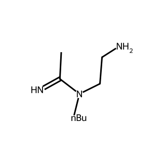 CCCCN(CCN)C(C)=N